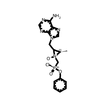 C[C@H]1C(Cn2cnc3c(N)ncnc32)[N+]1([O-])C[P@](=O)(Cl)Oc1ccccc1